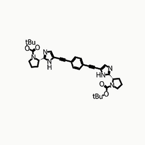 CC(C)(C)OC(=O)N1CCC[C@H]1c1ncc(C#Cc2ccc(C#Cc3cnc([C@@H]4CCCN4C(=O)OC(C)(C)C)[nH]3)cc2)[nH]1